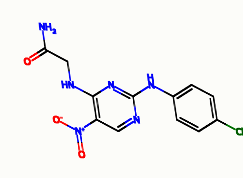 NC(=O)CNc1nc(Nc2ccc(Cl)cc2)ncc1[N+](=O)[O-]